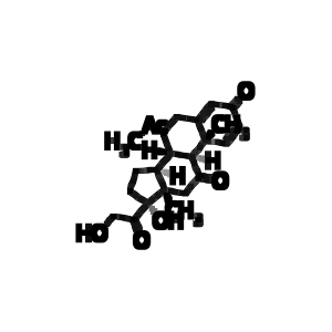 CC(C)=O.C[C@]12C=CC(=O)C=C1CC[C@@H]1[C@@H]2C(=O)C[C@@]2(C)[C@H]1CC[C@]2(O)C(=O)CO